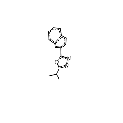 CC(C)c1nnc(-c2ccc3ccccc3c2)o1